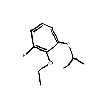 CCOc1c(F)cccc1OC(C)C